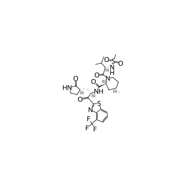 CC(C)[C@H](NS(C)(=O)=O)C(=O)N1CC[C@H](C)C[C@H]1C(=O)N[C@@H](C[C@@H]1CCNC1=O)C(=O)c1nc2c(C(F)(F)F)cccc2s1